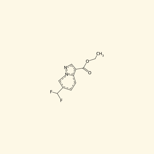 CCOC(=O)c1cnn2cc(C(F)F)ccc12